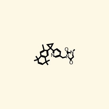 Cc1cc2c(cc1C1(c3ccc(CN4C(=O)CN(C)C4=O)cn3)CC1)C(C)(C)C=CC2(C)C